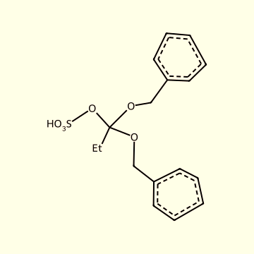 CCC(OCc1ccccc1)(OCc1ccccc1)OS(=O)(=O)O